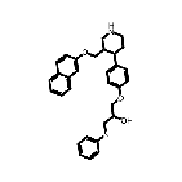 OC(COc1ccc(C2CCNCC2COc2ccc3ccccc3c2)cc1)CSc1ccccc1